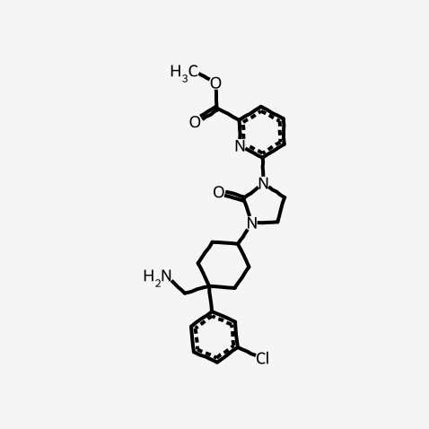 COC(=O)c1cccc(N2CCN(C3CCC(CN)(c4cccc(Cl)c4)CC3)C2=O)n1